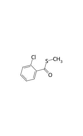 CSC(=O)c1ccccc1Cl